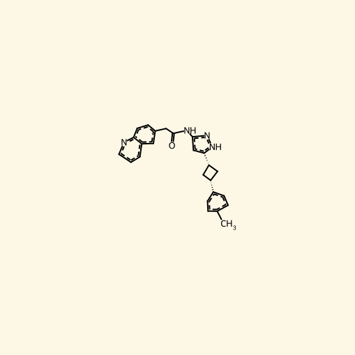 Cc1ccc([C@H]2C[C@@H](c3cc(NC(=O)Cc4ccc5ncccc5c4)n[nH]3)C2)cc1